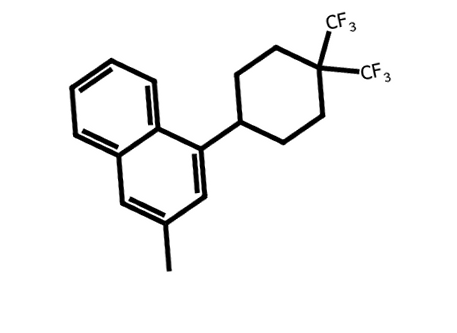 Cc1cc(C2CCC(C(F)(F)F)(C(F)(F)F)CC2)c2ccccc2c1